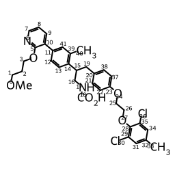 COCCCOc1ncccc1-c1ccc(C(CNC(=O)O)Cc2ccc(OCCOc3c(Cl)cc(C)cc3Cl)cc2)c(C)c1